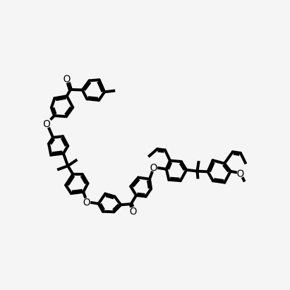 C/C=C\c1cc(C(C)(C)c2ccc(Oc3ccc(C(=O)c4ccc(Oc5ccc(C(C)(C)c6ccc(Oc7ccc(C(=O)c8ccc(C)cc8)cc7)cc6)cc5)cc4)cc3)c(/C=C\C)c2)ccc1OC